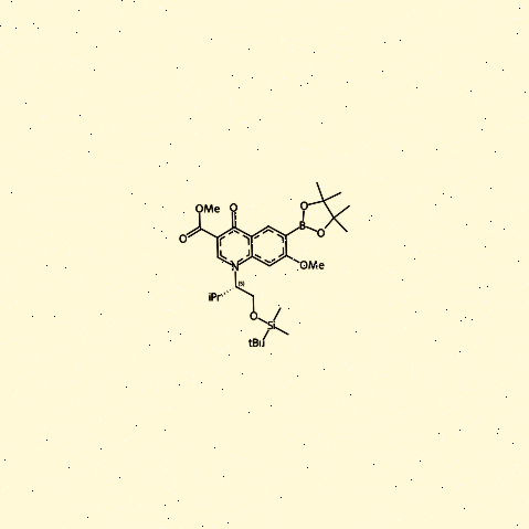 COC(=O)c1cn([C@H](CO[Si](C)(C)C(C)(C)C)C(C)C)c2cc(OC)c(B3OC(C)(C)C(C)(C)O3)cc2c1=O